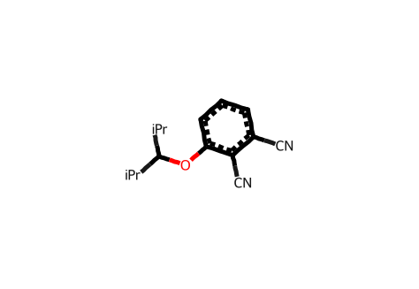 CC(C)C(Oc1cccc(C#N)c1C#N)C(C)C